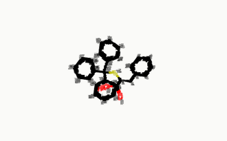 O=C(O)[C@H](Cc1ccccc1)SC(c1ccccc1)(c1ccccc1)c1ccccc1